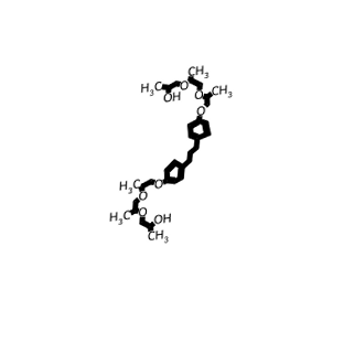 CC(O)COC(C)COC(C)COc1ccc(CCCc2ccc(OCC(C)OCC(C)OCC(C)O)cc2)cc1